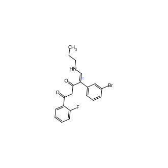 CCCN/C=C(\C(=O)CC(=O)c1ccccc1F)c1cccc(Br)c1